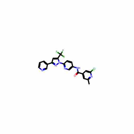 Cc1cc(C(=O)Nc2ccc(-n3nc(-c4cccnc4)cc3C(F)(F)F)nc2)cc(Cl)n1